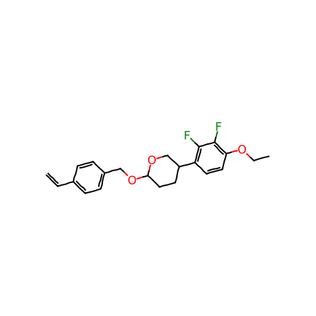 C=Cc1ccc(COC2CCC(c3ccc(OCC)c(F)c3F)CO2)cc1